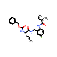 C=CC[C@H](NC(=O)OCc1ccccc1)C(=O)NCc1cc(F)ccc1NC(=O)[C@H](C)C=C